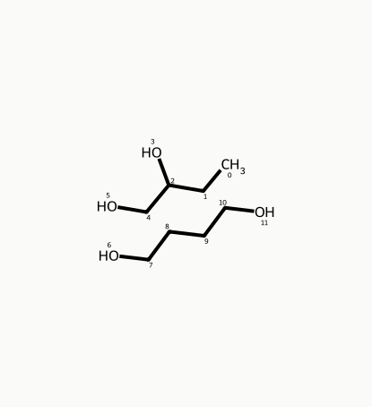 CCC(O)CO.OCCCCO